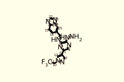 NNc1ncc(-c2cnn(CC(F)(F)F)c2)nc1NCc1ccc2ncnn2c1